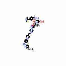 Cc1ncsc1-c1ccc([C@H](C)NC(=O)[C@@H]2C[C@@H](O)CN2C(=O)C(c2cc(N3CCN(CCC4CCN(c5ccc6c(c5)Sc5cc([N+](=O)[O-])cnc5N6)CC4)CC3)no2)C(C)C)cc1